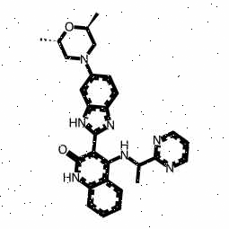 CC(Nc1c(-c2nc3ccc(N4C[C@H](C)O[C@@H](C)C4)cc3[nH]2)c(=O)[nH]c2ccccc12)c1ncccn1